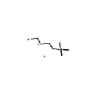 C[N+](C)(C)CCNCO.[Cl-]